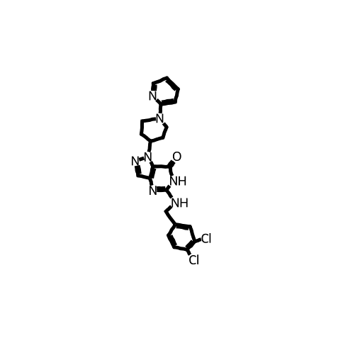 O=c1[nH]c(NCc2ccc(Cl)c(Cl)c2)nc2cnn(C3CCN(c4ccccn4)CC3)c12